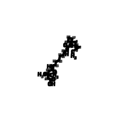 C[C@H]1CC1CC1(NC(=O)NCCCCCCNC(=O)CC(C)(C)CC(=O)O)CCC1